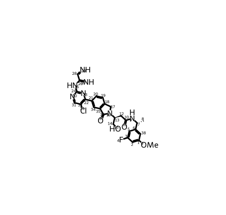 COc1cc(F)cc([C@@H](C)NC(=O)C[C@@H](CO)N2Cc3ccc(-c4nc(NC(=N)C=N)ncc4Cl)cc3C2=O)c1